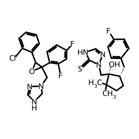 CC1(C)CC[C@@H](Cc2ccc(F)cc2)[C@]1(O)Cn1nc[nH]c1=S.Fc1ccc(C2(CN3CNC=N3)OC2c2ccccc2Cl)c(F)c1